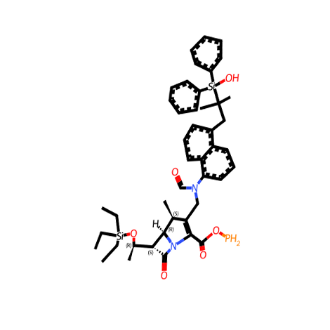 CC[Si](CC)(CC)O[C@H](C)[C@H]1C(=O)N2C(C(=O)OP)=C(CN(C=O)c3cccc4c(CC(C)(C)[Si](O)(c5ccccc5)c5ccccc5)cccc34)[C@H](C)[C@H]12